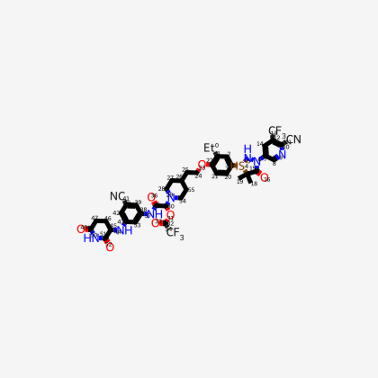 CCc1cc([SH]2NN(c3cnc(C#N)c(C(F)(F)F)c3)C(=O)C2(C)C)ccc1OCCC1CCN(C(OC(=O)C(F)(F)F)C(=O)Nc2cc(C#N)cc(NC3CCC(=O)NC3=O)c2)CC1